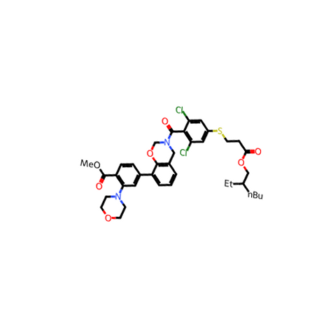 CCCCC(CC)COC(=O)CCSc1cc(Cl)c(C(=O)N2COc3c(cccc3-c3ccc(C(=O)OC)c(N4CCOCC4)c3)C2)c(Cl)c1